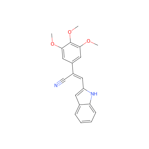 COc1cc(/C(C#N)=C/c2cc3ccccc3[nH]2)cc(OC)c1OC